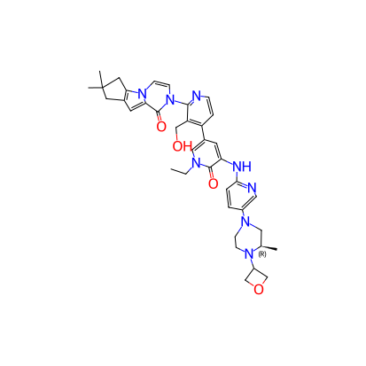 CCn1cc(-c2ccnc(-n3ccn4c5c(cc4c3=O)CC(C)(C)C5)c2CO)cc(Nc2ccc(N3CCN(C4COC4)[C@H](C)C3)cn2)c1=O